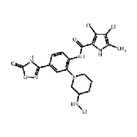 Cc1[nH]c(C(=O)Nc2ccc(-c3noc(=O)[nH]3)cc2N2CCCC(NCl)C2)c(Cl)c1Cl